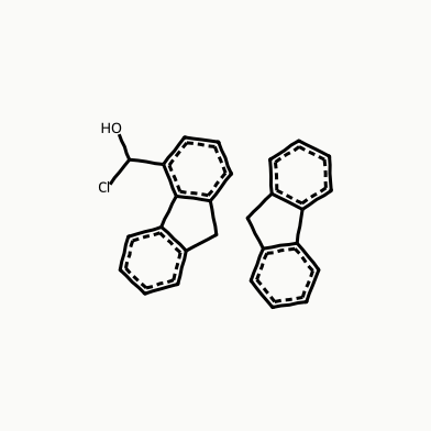 OC(Cl)c1cccc2c1-c1ccccc1C2.c1ccc2c(c1)Cc1ccccc1-2